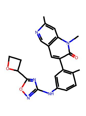 Cc1cc2c(cn1)cc(-c1cc(Nc3noc(C4CCO4)n3)ccc1C)c(=O)n2C